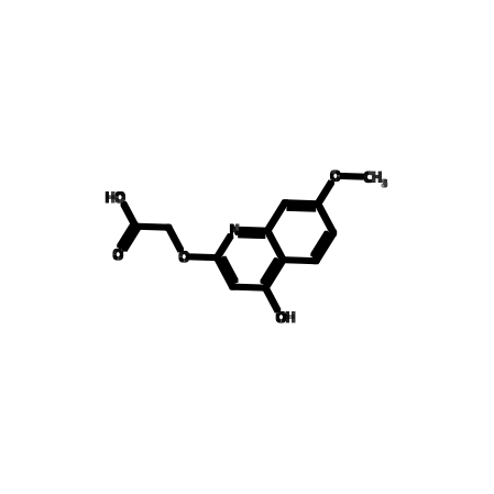 COc1ccc2c(O)cc(OCC(=O)O)nc2c1